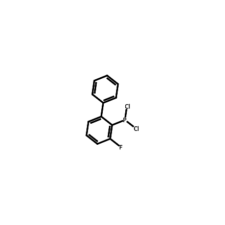 Fc1cccc(-c2ccccc2)c1P(Cl)Cl